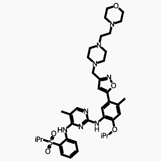 Cc1cc(OC(C)C)c(Nc2ncc(C)c(Nc3ccccc3S(=O)(=O)C(C)C)n2)cc1-c1cc(CN2CCN(CCN3CCOCC3)CC2)no1